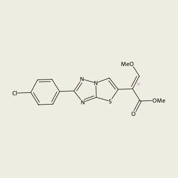 CO/C=C(/C(=O)OC)c1cn2nc(-c3ccc(Cl)cc3)nc2s1